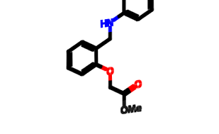 COC(=O)COc1ccccc1CNc1cccnc1